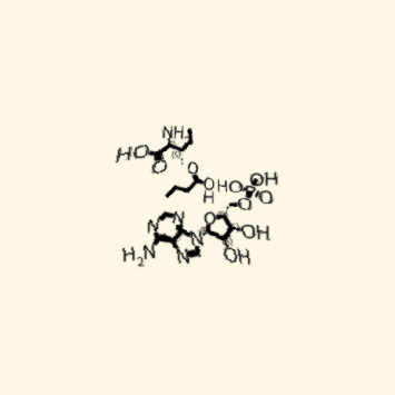 CCCC(=O)O.CC[C@H](C)[C@H](N)C(=O)O.Nc1ncnc2c1ncn2[C@@H]1O[C@H](COP(=O)(O)O)[C@@H](O)[C@H]1O